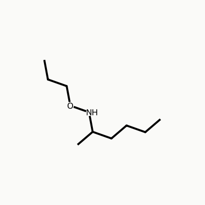 CCCCC(C)NOCCC